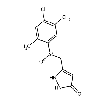 Cc1cc([S+]([O-])Cc2cc(=O)[nH][nH]2)c(C)cc1Cl